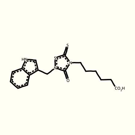 O=C(O)CCCCCn1c(=S)sn(Cc2c[nH]c3ccccc23)c1=O